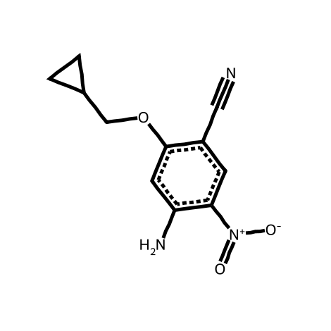 N#Cc1cc([N+](=O)[O-])c(N)cc1OCC1CC1